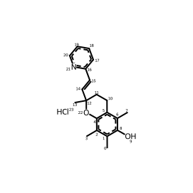 Cc1c(C)c2c(c(C)c1O)CCC(C)(C=Cc1ccccn1)O2.Cl